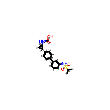 CC(C)S(=O)(=O)Nc1cccc(-c2ccc([C@@H]3C[C@H]3NC(=O)O)cc2)c1